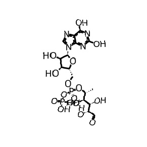 C[C@@H](OP(=O)(OC[C@H]1O[C@@H](n2cnc3c(O)nc(O)nc32)[C@H](O)[C@@H]1O)OP(=O)(O)O)[C@H](O)[C@H](O)[C@@H](O)C=O